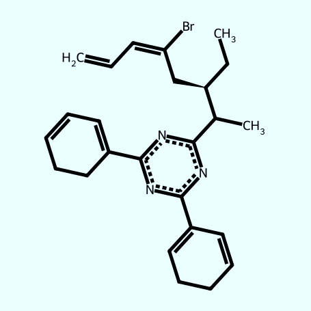 C=C/C=C(/Br)C[C@@H](CC)C(C)c1nc(C2=CCCC=C2)nc(C2=CC=CCC2)n1